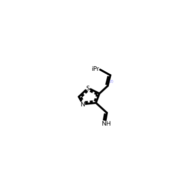 CC(C)/C=C\c1scnc1C=N